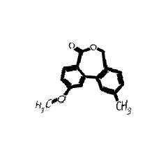 COc1ccc2c(c1)-c1cc(C)ccc1COC2=O